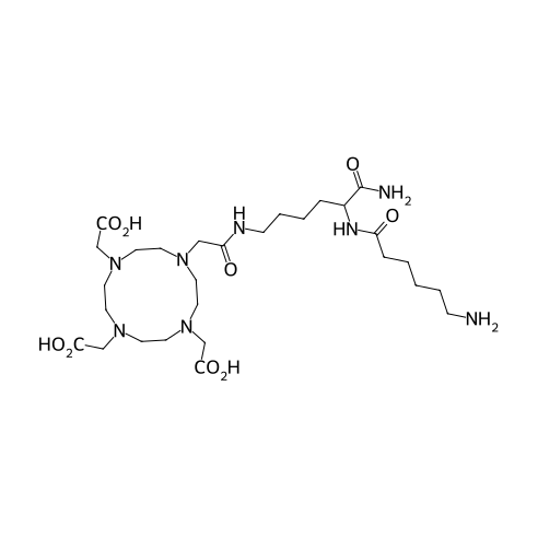 NCCCCCC(=O)NC(CCCCNC(=O)CN1CCN(CC(=O)O)CCN(CC(=O)O)CCN(CC(=O)O)CC1)C(N)=O